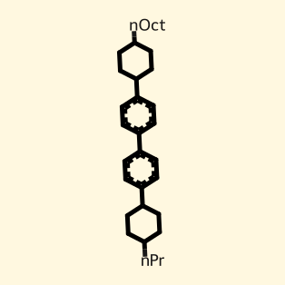 CCCCCCCCC1CCC(c2ccc(-c3ccc(C4CCC(CCC)CC4)cc3)cc2)CC1